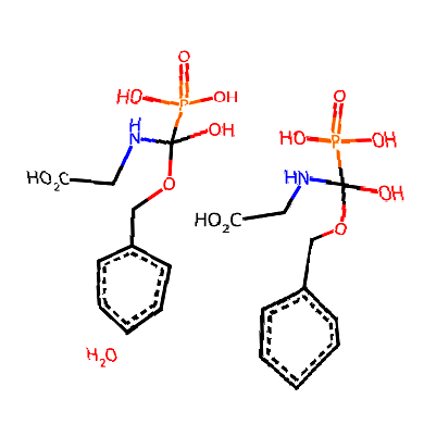 O.O=C(O)CNC(O)(OCc1ccccc1)P(=O)(O)O.O=C(O)CNC(O)(OCc1ccccc1)P(=O)(O)O